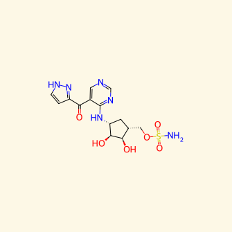 NS(=O)(=O)OC[C@H]1C[C@@H](Nc2ncncc2C(=O)c2cc[nH]n2)[C@H](O)[C@@H]1O